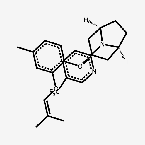 CC(C)=COc1cc(C)ccc1O[C@H]1C[C@H]2CC[C@@H](C1)N2c1ccc(C(F)(F)F)cn1